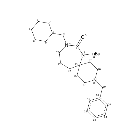 CCCCN1C(=O)N(CC2CCCCC2)CCCC12CCN(Cc1ccccc1)CC2